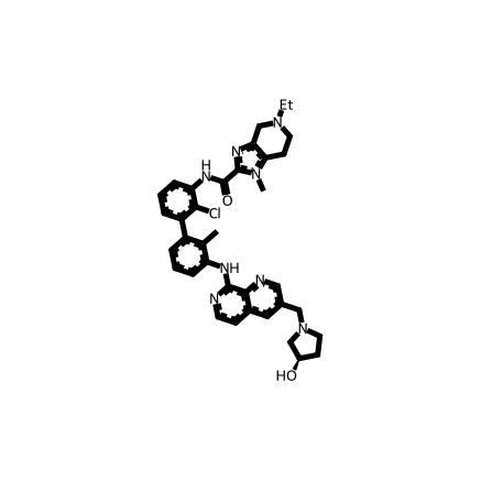 CCN1CCc2c(nc(C(=O)Nc3cccc(-c4cccc(Nc5nccc6cc(CN7CC[C@@H](O)C7)cnc56)c4C)c3Cl)n2C)C1